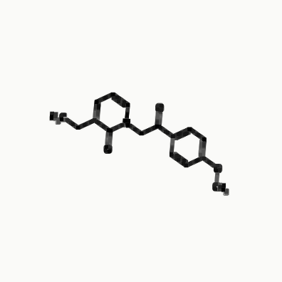 CCc1cccn(CC(=O)c2ccc(OC)cc2)c1=O